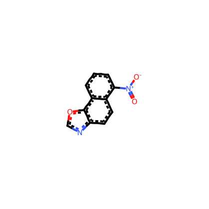 O=[N+]([O-])c1cccc2c1ccc1ncoc12